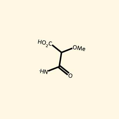 COC(C([NH])=O)C(=O)O